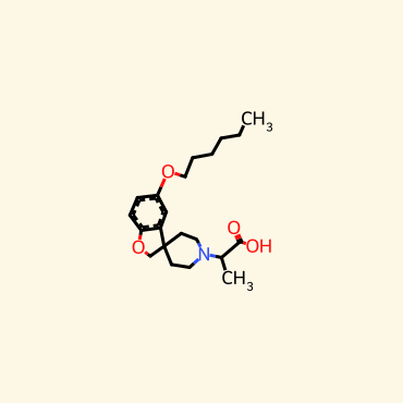 CCCCCCOc1ccc2c(c1)C1(CCN(C(C)C(=O)O)CC1)CO2